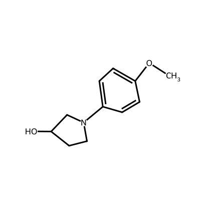 COc1ccc(N2CCC(O)C2)cc1